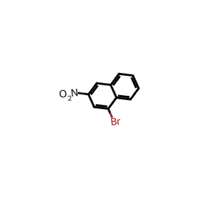 O=[N+]([O-])c1cc(Br)c2ccccc2c1